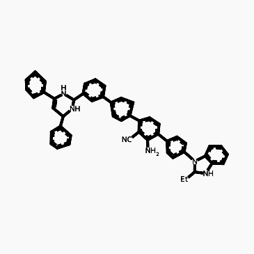 CCC1Nc2ccccc2N1c1ccc(-c2ccc(-c3ccc(-c4cccc(C5NC(c6ccccc6)=CC(c6ccccc6)N5)c4)cc3)c(C#N)c2N)cc1